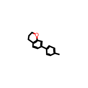 Cc1ccc(-c2ccc3c(c2)OCCC3)cc1